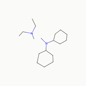 CCN(C)CC.CN(C1CCCCC1)C1CCCCC1